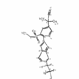 CCS(=O)(=O)c1cc(C(C)(C)C#N)cnc1-c1cn2ccc(C(F)(F)C(F)(F)F)cc2n1